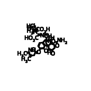 CC(C)[C@H](N)C(=O)O.C[C@@H](N)[C@@H](C)CC(=O)Oc1ccc2c3c1O[C@H]1C(=O)CC[C@@]4(OC(N)=O)[C@@H](C2)N(C)CC[C@]314.Cl.Cl.NC(=O)O